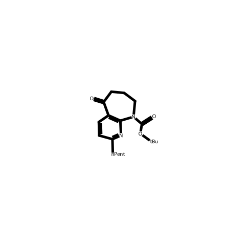 CCCCCc1ccc2c(n1)N(C(=O)OC(C)(C)C)CCCC2=O